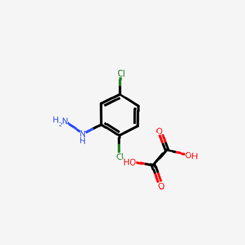 NNc1cc(Cl)ccc1Cl.O=C(O)C(=O)O